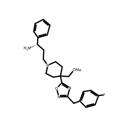 COCC1(c2nc(Cc3ccc(F)cc3)no2)CCN(CC[C@H](N)c2ccccc2)CC1